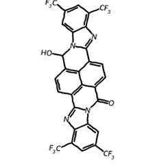 O=c1c2ccc3c4c(ccc(c42)c2nc4c(C(F)(F)F)cc(C(F)(F)F)cc4n12)C(O)n1c-3nc2c(C(F)(F)F)cc(C(F)(F)F)cc21